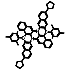 Cc1cc(C)c(B2c3cc4cc(C5CCCC5)ccc4cc3N3c4cc5ccccc5c5c4N(c4cc6ccc(C7CCCC7)cc6cc4B5c4c(C)cc(C)cc4C)c4cc5ccccc5c2c43)c(C)c1